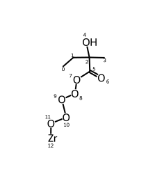 CCC(C)(O)C(=O)OOOO[O][Zr]